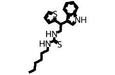 CCCCCCNC(=S)NCC(c1cccs1)c1c[nH]c2ccccc12